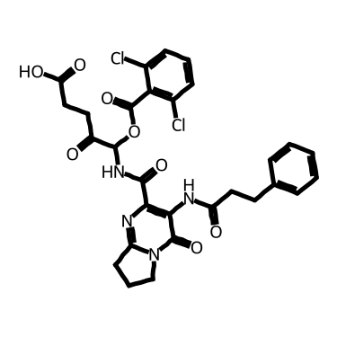 O=C(O)CCC(=O)C(NC(=O)c1nc2n(c(=O)c1NC(=O)CCc1ccccc1)CCC2)OC(=O)c1c(Cl)cccc1Cl